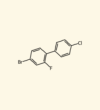 Fc1cc(Br)ccc1-c1ccc(Cl)cc1